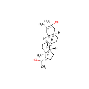 CC(O)[C@H]1CC[C@H]2[C@@H]3CC[C@@H]4C[C@](C)(O)[C@@H](C)C[C@@H]4[C@H]3CC[C@]12C